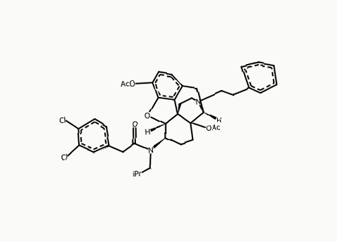 CC(=O)Oc1ccc2c3c1O[C@H]1[C@H](N(CC(C)C)C(=O)Cc4ccc(Cl)c(Cl)c4)CCC4(OC(C)=O)[C@@H](C2)N(CCc2ccccc2)CC[C@]314